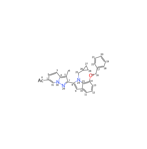 CC(=O)c1ccc2c(C)c(-c3cc4cccc(OCc5ccccc5)c4n3CC3CC3)nn2c1